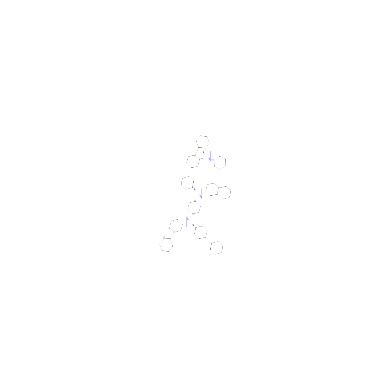 c1ccc(-c2ccc(N(c3ccc(N(c4cccc(-c5ccc6c7ccccc7n(-c7ccccc7)c6c5)c4)c4ccc5ccccc5c4)cc3)c3ccc4sc5ccccc5c4c3)cc2)cc1